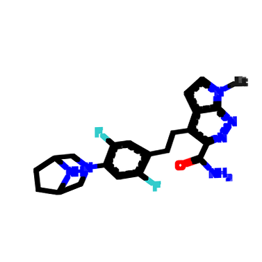 CCn1ccc2c(CCc3cc(F)c(N4CC5CCC(C4)N5)cc3F)c(C(N)=O)nnc21